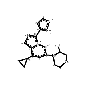 CC1COCCN1c1cc(C2CC2)c2cnc(-c3ccn[nH]3)n2n1